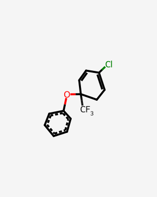 FC(F)(F)C1(Oc2ccccc2)C=CC(Cl)=CC1